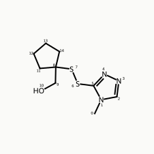 Cn1cnnc1SSC1(CO)CCCC1